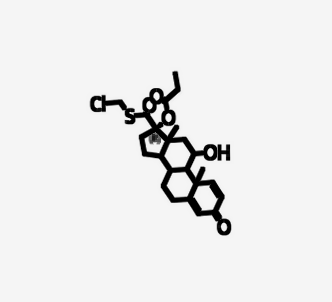 CCC(=O)O[C@]1(C(=O)SCCl)CCC2C3CCC4=CC(=O)C=CC4(C)C3C(O)CC21C